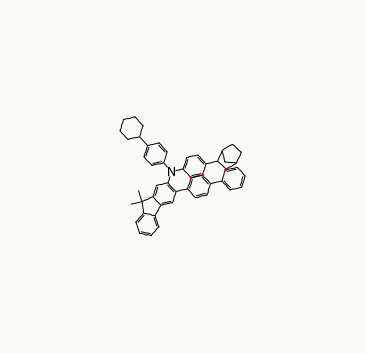 CC1(C)c2ccccc2-c2cc(-c3ccc(-c4ccccc4)cc3)c(N(c3ccc(C4CCCCC4)cc3)c3ccc(C4CC5CCC4C5)cc3)cc21